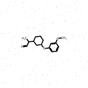 COc1cccc(OC2CCCC(C(C)C=O)C2)c1